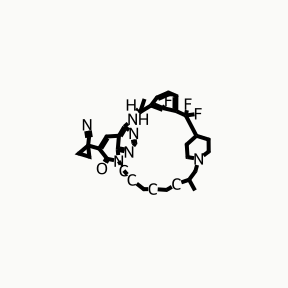 CC1CCCCCCn2c(=O)c(C3(C#N)CC3)cc3c(ncnc32)N[C@H](C)c2cccc(c2F)C(F)(F)C2CCN(CC2)C1